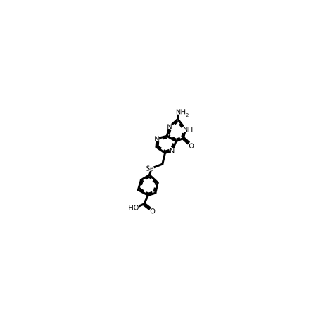 Nc1nc2ncc(C[Se]c3ccc(C(=O)O)cc3)nc2c(=O)[nH]1